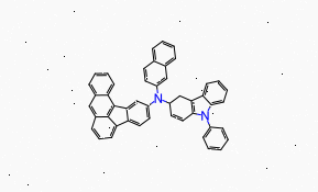 C1=CC(N(c2ccc3c(c2)-c2c4ccccc4cc4cccc-3c24)c2ccc3ccccc3c2)Cc2c1n(-c1ccccc1)c1ccccc21